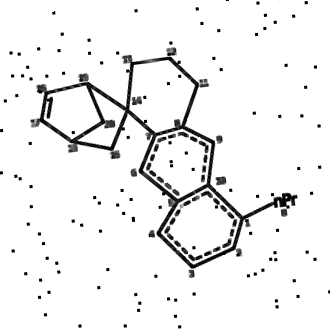 CCCc1cccc2cc3c(cc12)CCCC31CC2C=CC1C2